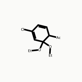 CCOC1(OCC)C=C(Cl)C=CC1C(C)=O